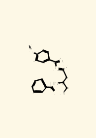 O=C(NC(CO)Cc1nc(-c2ccc(OC(F)(F)F)cc2)no1)c1ccccc1